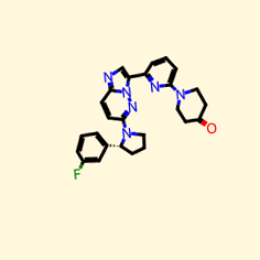 O=C1CCN(c2cccc(-c3cnc4ccc(N5CCC[C@@H]5c5cccc(F)c5)nn34)n2)CC1